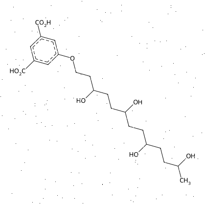 CC(O)CCC(O)CCC(O)CCC(O)CCOc1cc(C(=O)O)cc(C(=O)O)c1